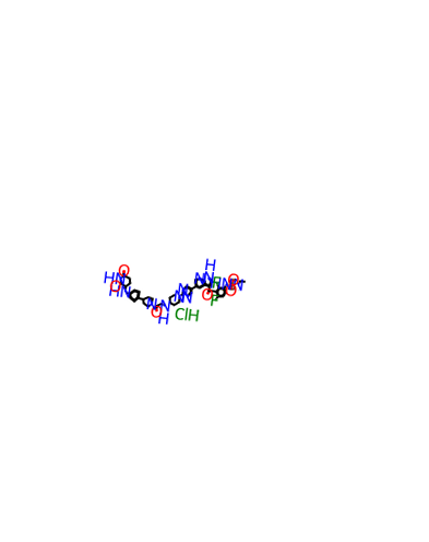 CCN(C)S(=O)(=O)Nc1ccc(F)c(C(=O)c2c[nH]c3ncc(-c4cnc(N5CCC(NCC(=O)N6CCC(c7ccc(NC8CCC(=O)NC8=O)cc7)CC6)CC5)nc4)cc23)c1F.Cl